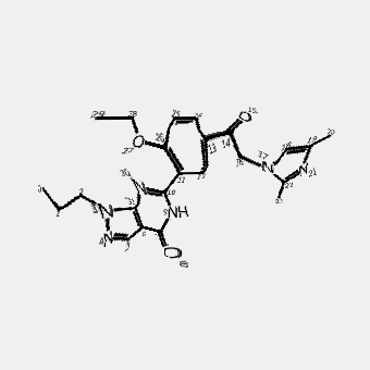 CCCn1ncc2c(=O)[nH]c(-c3cc(C(=O)Cn4cc(C)nc4C)ccc3OCC)nc21